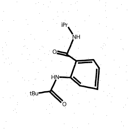 CC(C)NC(=O)c1ccccc1NC(=O)C(C)(C)C